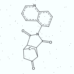 O=C1CC2CCC1C1C(=O)N(c3cccc4ncccc34)C(=O)C21